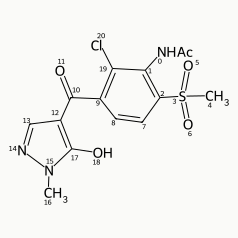 CC(=O)Nc1c(S(C)(=O)=O)ccc(C(=O)c2cnn(C)c2O)c1Cl